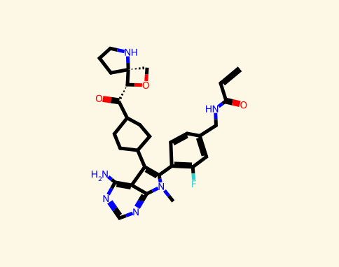 C=CC(=O)NCc1ccc(-c2c(C3CCC(C(=O)[C@H]4OC[C@@]45CCCN5)CC3)c3c(N)ncnc3n2C)c(F)c1